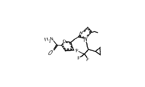 Cc1cnc(-c2ccc(C(N)=O)o2)n1C(C1CC1)C(F)(F)F